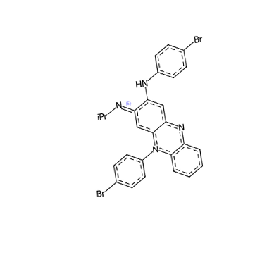 CC(C)/N=c1\cc2n(-c3ccc(Br)cc3)c3ccccc3nc-2cc1Nc1ccc(Br)cc1